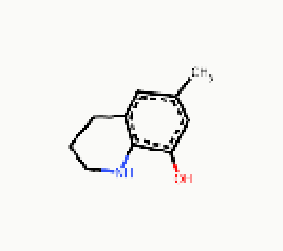 Cc1cc(O)c2c(c1)CCCN2